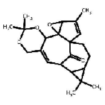 CC1=CC23CCC4C(C(C=C5COC(C)(C)OC5C25OC15)C3=O)C4(C)C